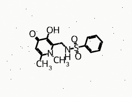 Cc1cc(=O)c(O)c(CNS(=O)(=O)c2ccccc2)n1C